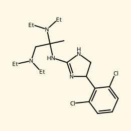 CCN(CC)CC(C)(NC1=NC(c2c(Cl)cccc2Cl)CN1)N(CC)CC